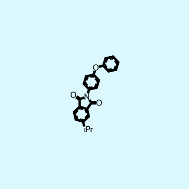 CC(C)c1ccc2c(c1)C(=O)N(c1ccc(Oc3ccccc3)cc1)C2=O